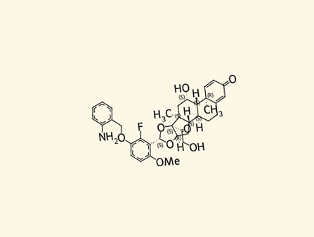 COc1ccc(OCc2ccccc2N)c(F)c1[C@H]1O[C@@H]2C[C@H]3[C@@H]4CCC5=CC(=O)C=C[C@]5(C)[C@H]4[C@@H](O)C[C@]3(C)[C@]2(C(=O)CO)O1